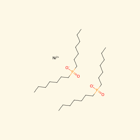 CCCCCCCP(=O)([O-])CCCCCCC.CCCCCCCP(=O)([O-])CCCCCCC.[Ni+2]